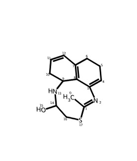 C/C1=N\C2=CCCC3=C2C(CC=C3)NC(O)CS1